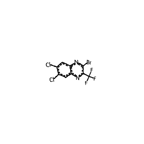 FC(F)(F)c1nc2cc(Cl)c(Cl)cc2nc1Br